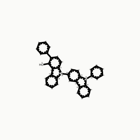 Oc1c(-c2ccccc2)ccc2c1c1ccccc1n2-c1ccc2c(c1)c1ccccc1n2-c1ccccc1